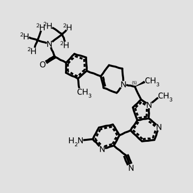 [2H]C([2H])([2H])N(C(=O)c1ccc(C2=CCN([C@@H](C)c3cc4c(-c5ccc(N)nc5C#N)ccnc4n3C)CC2)c(C)c1)C([2H])([2H])[2H]